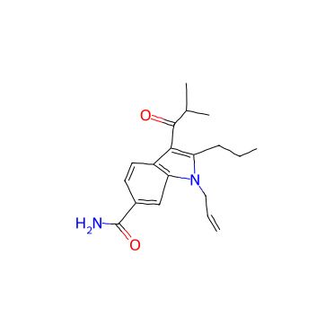 C=CCn1c(CCC)c(C(=O)C(C)C)c2ccc(C(N)=O)cc21